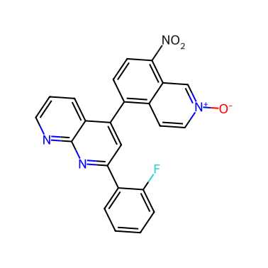 O=[N+]([O-])c1ccc(-c2cc(-c3ccccc3F)nc3ncccc23)c2cc[n+]([O-])cc12